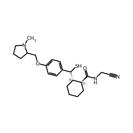 CN1CCCC1COc1ccc(C(S)[C@H]2CCCC[C@@H]2C(=O)NCC#N)cc1